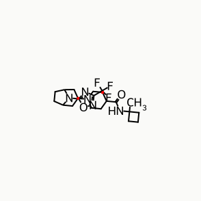 CC1(NC(=O)C2CCN(C3CC4CCC(C3)N4c3nc(C(F)(F)F)no3)CC2)CCC1